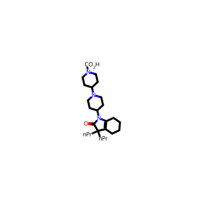 CCCC1(CCC)C(=O)N(C2CCN(C3CCN(C(=O)O)CC3)CC2)C2=C1CCCC2